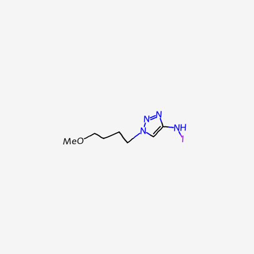 COCCCCn1cc(NI)nn1